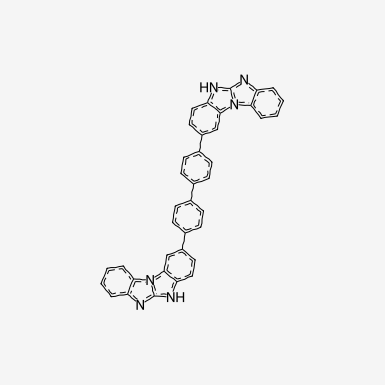 c1ccc2c(c1)nc1[nH]c3ccc(-c4ccc(-c5ccc(-c6ccc7[nH]c8nc9ccccc9n8c7c6)cc5)cc4)cc3n12